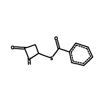 O=C1CC(SC(=O)c2ccccc2)N1